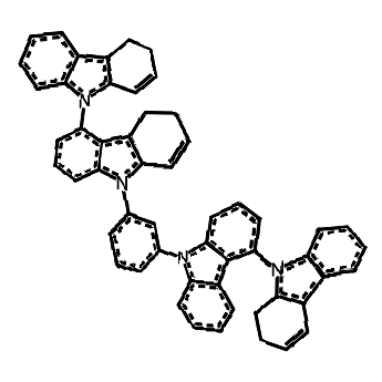 C1=Cc2c(c3ccccc3n2-c2cccc3c2c2c(n3-c3cccc(-n4c5ccccc5c5c(-n6c7c(c8ccccc86)C=CCC7)cccc54)c3)C=CCC2)CC1